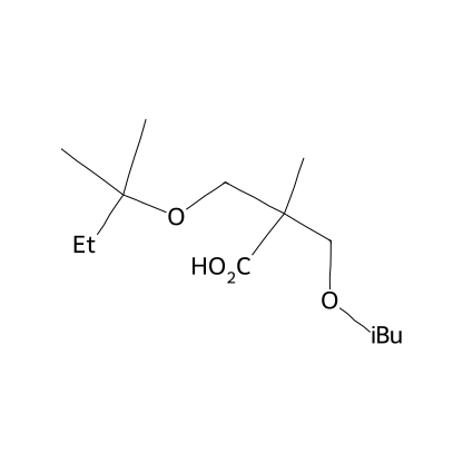 CCC(C)OCC(C)(COC(C)(C)CC)C(=O)O